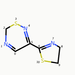 C1=NCSN=C1C1=NCCS1